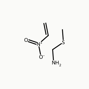 C=C[N+](=O)[O-].CSCN